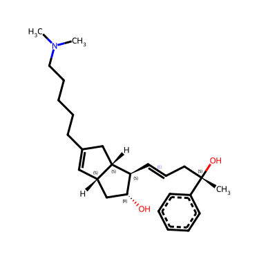 CN(C)CCCCCC1=C[C@H]2C[C@@H](O)[C@H](/C=C/C[C@](C)(O)c3ccccc3)[C@H]2C1